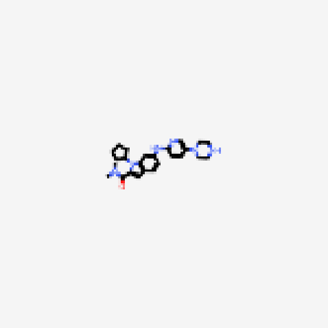 CN(C)C(=O)c1cc2ccc(Nc3ccc(N4CCNCC4)cn3)cc2n1C1CCCC1